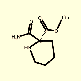 CC(C)(C)OC(=O)[C@]1(C(N)=O)CCCCN1